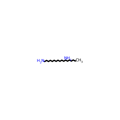 CCCCCCC(N)CCCCCCCCCCCN